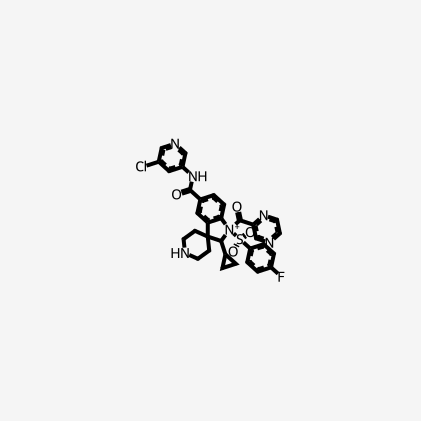 O=C(Nc1cncc(Cl)c1)c1ccc2c(c1)C1(CCNCC1)C(C1CC1)[N+]2(C(=O)c1cnccn1)S(=O)(=O)c1ccc(F)cc1